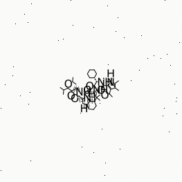 CCC[C@H](NC(=O)[C@@H]1C[C@@H]2CCCC3[C@@H]2N1C(=O)[C@@H](NC(=O)C(NC(=O)c1[nH]c(C)c(C)c1C(C)=O)C1CCCCC1)C3(C)C)C(=O)C(=O)C(C)C